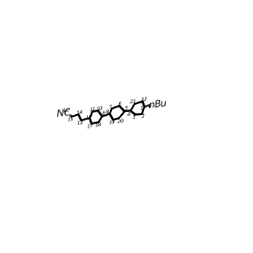 CCCCC1CCC(C2CCC(C3CCC(CCCC#N)CC3)CC2)CC1